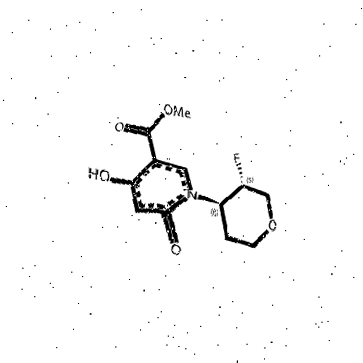 COC(=O)c1cn([C@@H]2CCOC[C@H]2F)c(=O)cc1O